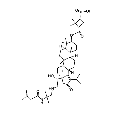 CC(C)C1=C2[C@H]3CC[C@@H]4[C@@]5(C)CC[C@H](OC(=O)[C@H]6C[C@@H](C(=O)O)C6(C)C)C(C)(C)[C@@H]5CC[C@@]4(C)[C@]3(C)CC[C@@]2([C@@H](O)CNCC(C)(C)NC(=O)CN(C)C)CC1=O